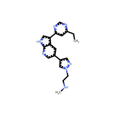 CCc1cc(-c2c[nH]c3ncc(-c4cnn(CCNC)c4)cc23)n[c]n1